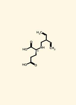 C=CC(C=C)CN[C@@H](CCC(=O)O)C(=O)O